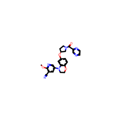 COc1ncc(N2CCOc3ccc(O[C@H]4CCN(C(=O)c5cnccn5)C4)cc32)cc1C#N